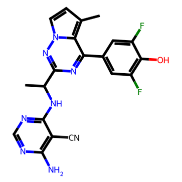 Cc1ccn2nc(C(C)Nc3ncnc(N)c3C#N)nc(-c3cc(F)c(O)c(F)c3)c12